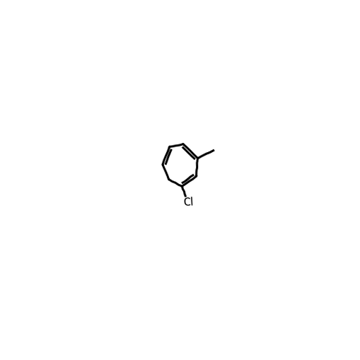 CC1=CC=CCC(Cl)=C1